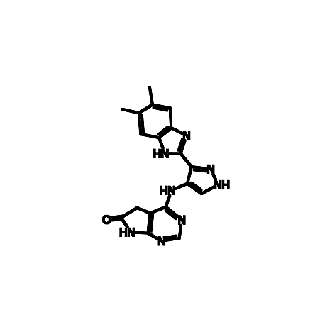 Cc1cc2nc(-c3n[nH]cc3Nc3ncnc4c3CC(=O)N4)[nH]c2cc1C